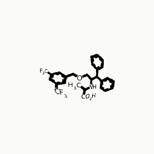 CC(NC(COCc1cc(C(F)(F)F)cc(C(F)(F)F)c1)C(c1ccccc1)c1ccccc1)C(=O)O